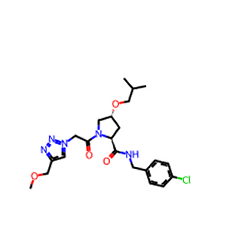 COCc1cn(CC(=O)N2C[C@H](OCC(C)C)C[C@H]2C(=O)NCc2ccc(Cl)cc2)nn1